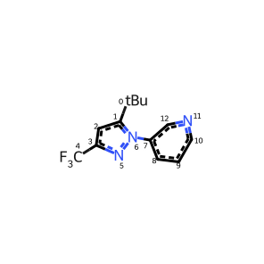 CC(C)(C)c1cc(C(F)(F)F)nn1-c1cccnc1